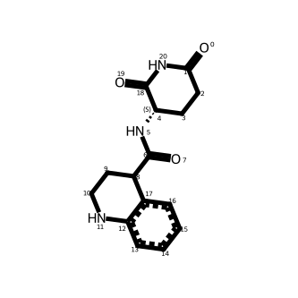 O=C1CC[C@H](NC(=O)C2CCNc3ccccc32)C(=O)N1